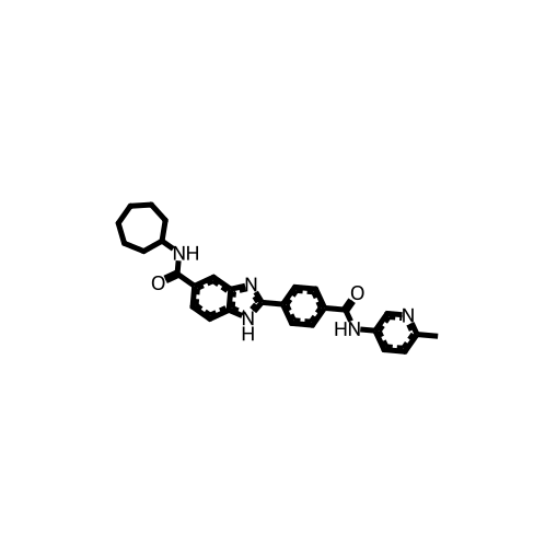 Cc1ccc(NC(=O)c2ccc(-c3nc4cc(C(=O)NC5CCCCCC5)ccc4[nH]3)cc2)cn1